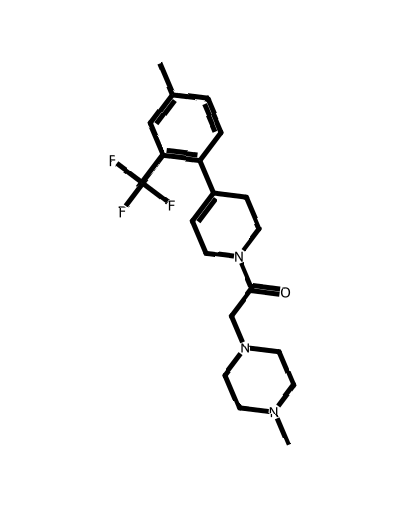 Cc1ccc(C2=CCN(C(=O)CN3CCN(C)CC3)CC2)c(C(F)(F)F)c1